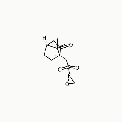 CC1(C)[C@H]2CC[C@]1(CS(=O)(=O)N1CO1)C(=O)C2